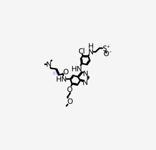 COCCOc1cc2ncnc(Nc3ccc(NCC[S+](C)[O-])c(Cl)c3)c2cc1NC(=O)/C=C/CN(C)C